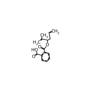 C=CCC(OC(=O)c1ccccc1C(=O)O)C(=C)C